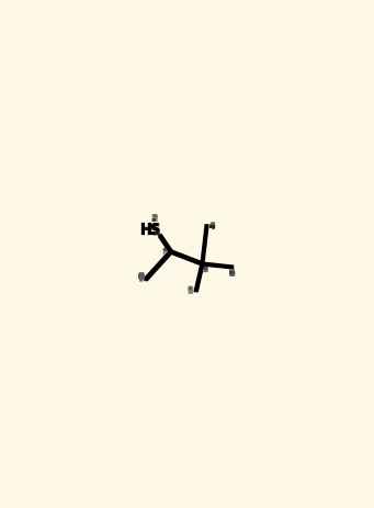 [CH2]C(S)C(C)(C)C